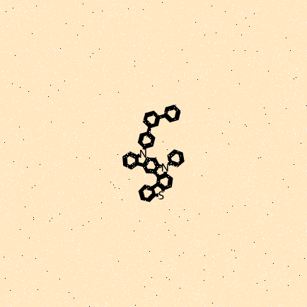 c1ccc(-c2cccc(-c3ccc(-n4c5ccccc5c5cc6c7c8c(ccc7n(-c7ccccc7)c6cc54)sc4ccccc48)cc3)c2)cc1